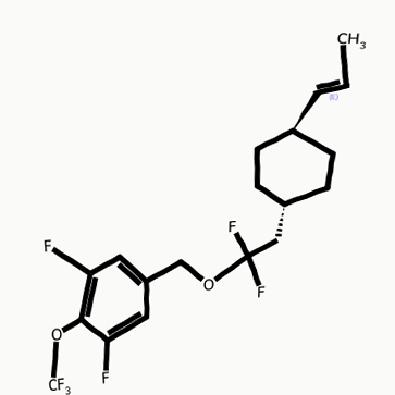 C/C=C/[C@H]1CC[C@H](CC(F)(F)OCc2cc(F)c(OC(F)(F)F)c(F)c2)CC1